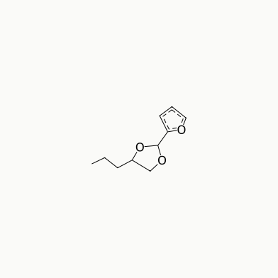 CCCC1COC(c2ccco2)O1